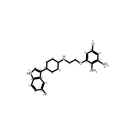 Nc1c(OCCNC2CCC(c3c[nH]c4ccc(F)cc34)CC2)cc(Cl)cc1[N+](=O)[O-]